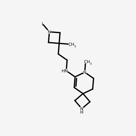 CN1CCC2(C=C1NCCC1(C)CN(I)C1)CNC2